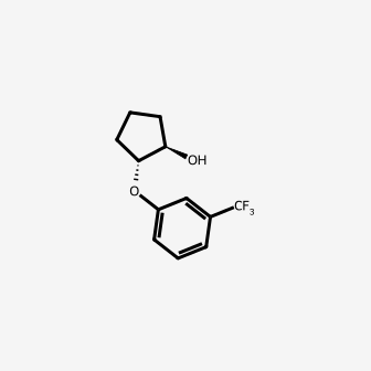 O[C@@H]1CCC[C@H]1Oc1cccc(C(F)(F)F)c1